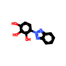 Oc1ccc(-n2nc3ccccc3n2)c(O)c1O